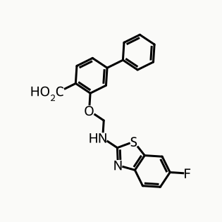 O=C(O)c1ccc(-c2ccccc2)cc1OCNc1nc2ccc(F)cc2s1